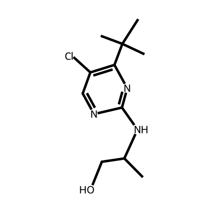 CC(CO)Nc1ncc(Cl)c(C(C)(C)C)n1